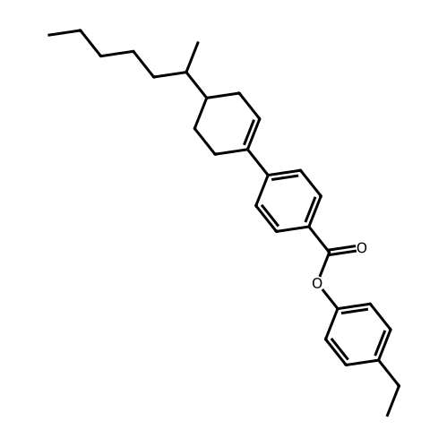 CCCCCC(C)C1CC=C(c2ccc(C(=O)Oc3ccc(CC)cc3)cc2)CC1